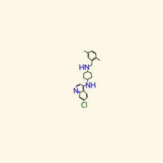 Cc1ccc(C)c(CNC2CCC(Nc3ccnc4cc(Cl)ccc34)CC2)c1